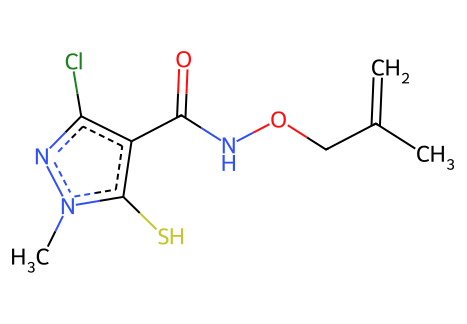 C=C(C)CONC(=O)c1c(Cl)nn(C)c1S